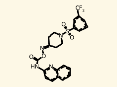 O=C(Nc1ccc2ccccc2n1)ON=C1CCN(S(=O)(=O)c2cccc(C(F)(F)F)c2)CC1